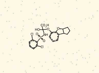 O=C(O)C(O)(NS(=O)(=O)c1c(Cl)cccc1Cl)Oc1cccc2c1OC1CCCC21